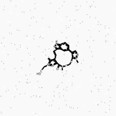 Cc1c2c(nn1CCO)C(=O)N(C)CCOc1c(cnn1C)-c1ccc3[nH]nc(c3c1)/C=C/2